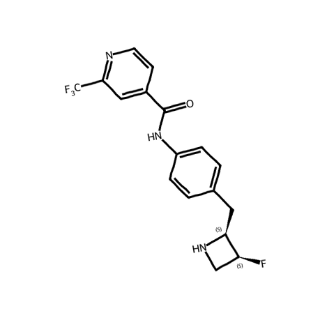 O=C(Nc1ccc(C[C@@H]2NC[C@@H]2F)cc1)c1ccnc(C(F)(F)F)c1